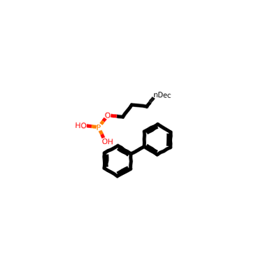 CCCCCCCCCCCCCOP(O)O.c1ccc(-c2ccccc2)cc1